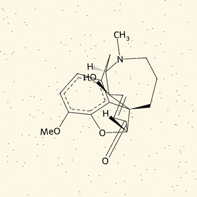 COc1ccc2c3c1O[C@H]1C(=O)C=C[C@@]4(O)[C@@H](C2)N(C)CCC[C@]314